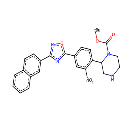 CC(C)(C)OC(=O)N1CCNCC1c1ccc(-c2nc(-c3ccc4ccccc4c3)no2)cc1[N+](=O)[O-]